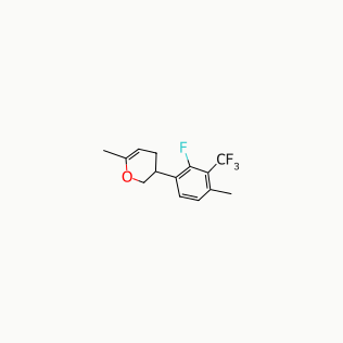 CC1=CCC(c2ccc(C)c(C(F)(F)F)c2F)CO1